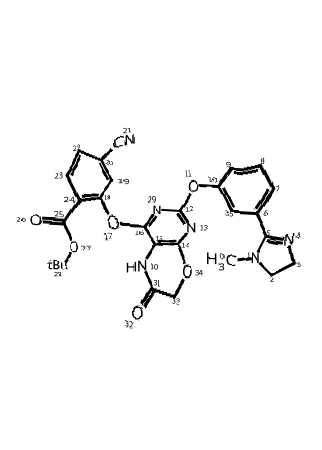 CN1CCN=C1c1cccc(Oc2nc3c(c(Oc4cc(C#N)ccc4C(=O)OC(C)(C)C)n2)NC(=O)CO3)c1